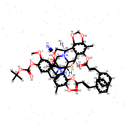 COc1cc2c(cc1OC(=O)OC(C)(C)C)CCN[C@]21CS[C@@H]2c3c(OC(=O)/C=C/c4ccccc4)c(C)c4c(c3[C@H](COC1=O)N1C2[C@@H]2c3c(cc(C)c(OC)c3OC(=O)/C=C/c3ccccc3)C[C@H]([C@@H]1C#N)N2C)OCO4